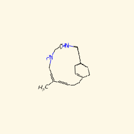 CC1=C\CNCCNCC2CC=C(CC\C=C\1)CC2